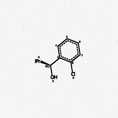 CC(C)[C@H](O)c1ccccc1Cl